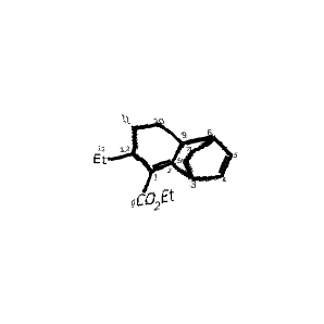 CCOC(=O)C1=C2C3C=CC(CC3)C2CCC1CC